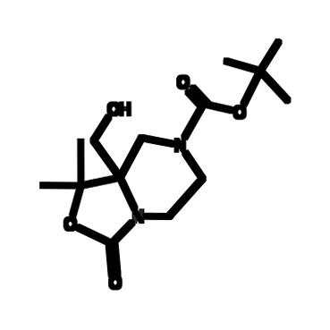 CC(C)(C)OC(=O)N1CCN2C(=O)OC(C)(C)C2(CO)C1